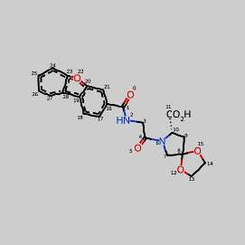 O=C(NCC(=O)N1CC2(C[C@H]1C(=O)O)OCCO2)c1ccc2c(c1)oc1ccccc12